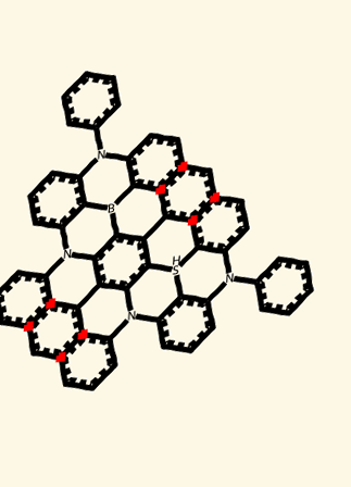 c1ccc(-c2c3c(c(-c4ccccc4)c4c2N(c2ccccc2)c2cccc5c2[SH]4c2ccccc2N5c2ccccc2)B2c4ccccc4N(c4ccccc4)c4cccc(c42)N3c2ccccc2)cc1